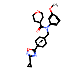 COc1cccc(N(CC23CCC(c4nc(C5CC5)no4)(CC2)CC3)C(=O)C2CCOCC2)c1